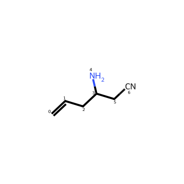 C=CCC(N)CC#N